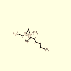 CCCCC[C@@H](O)[C@]1(C)C[C@H]1CC